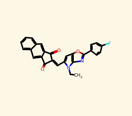 CCn1c(C=C2C(=O)c3cc4ccccc4cc3C2=O)cc2oc(-c3ccc(F)cc3)nc21